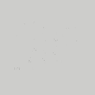 Cn1c(=O)n(CC2CCCCO2)c(=O)c2c1nc(N1CCNCC1)n2Cc1ccccc1I